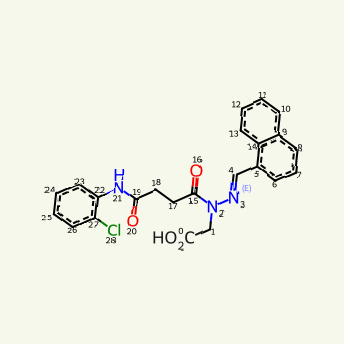 O=C(O)CN(/N=C/c1cccc2ccccc12)C(=O)CCC(=O)Nc1ccccc1Cl